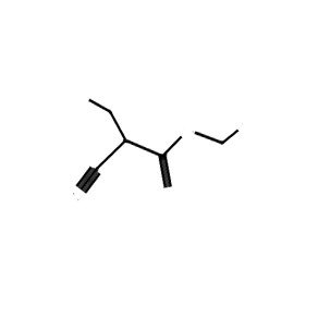 CCOC(=O)C(C#N)CO